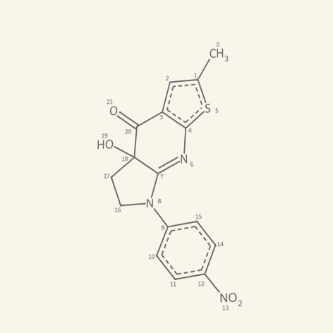 Cc1cc2c(s1)N=C1N(c3ccc([N+](=O)[O-])cc3)CCC1(O)C2=O